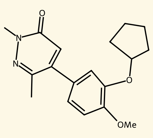 COc1ccc(-c2cc(=O)n(C)nc2C)cc1OC1CCCC1